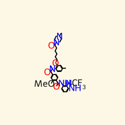 COc1cc(C(=O)N(C)c2ccc(C)cc2OCCCCCC(=O)N2CCN(C)CC2)ccc1C(=O)Nc1cccc2[nH]c(C(F)(F)F)nc12